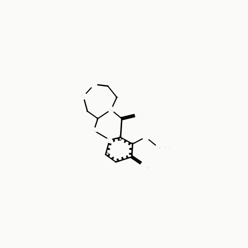 CCCCCCOc1c2n(ccc1=O)NC1CNOCCN1C2=O